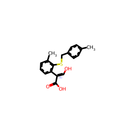 Cc1ccc(CSc2c(C)cccc2/C(=C\O)C(=O)O)cc1